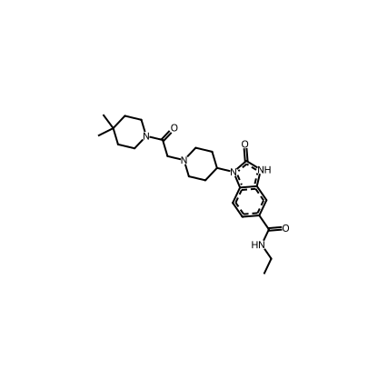 CCNC(=O)c1ccc2c(c1)[nH]c(=O)n2C1CCN(CC(=O)N2CCC(C)(C)CC2)CC1